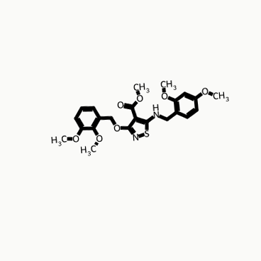 COC(=O)c1c(OCc2cccc(OC)c2OC)nsc1NCc1ccc(OC)cc1OC